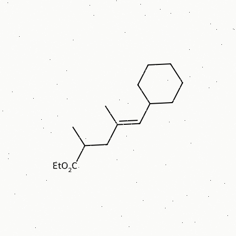 CCOC(=O)C(C)C/C(C)=C/C1CCCCC1